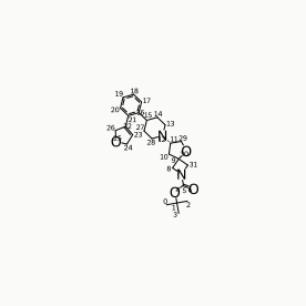 CC(C)(C)OC(=O)N1CC2(C[C@H](N3CCC(c4ccccc4C4=CCOC4)CC3)CO2)C1